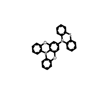 c1ccc2c(c1)Oc1cc(N3c4ccccc4Sc4ccccc43)cc3c1B2c1ccccc1O3